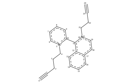 C#CCCC[n+]1ccccc1-c1c2ccccc2cc[n+]1CCC#C